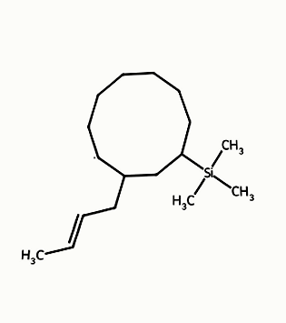 CC=CCC1[CH]CCCCCCC([Si](C)(C)C)C1